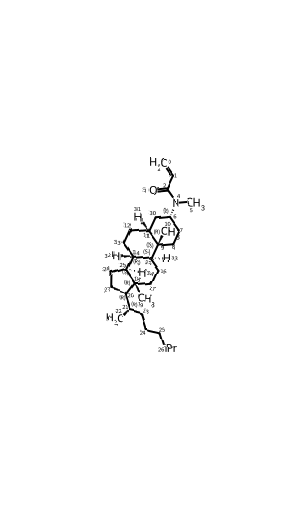 C=CC(=O)N(C)[C@@H]1CC[C@@]2(C)[C@H](CC[C@@H]3[C@@H]2CC[C@]2(C)[C@@H]([C@H](C)CCCC(C)C)CC[C@@H]32)C1